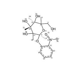 CC1(CO)O[C@@](C)(Oc2ccccc2[N+](=O)[O-])C(C)(O)[C@](C)(O)[C@@]1(C)O